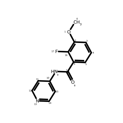 COc1cccc(C(=O)Nc2ccncc2)c1F